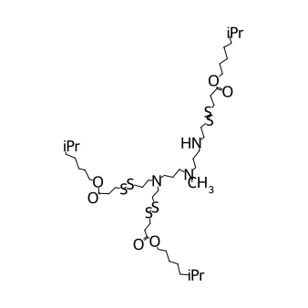 CC(C)CCCCCOC(=O)CCSSCCNCCCN(C)CCCN(CCSSCCC(=O)OCCCCCC(C)C)CCSSCCC(=O)OCCCCCC(C)C